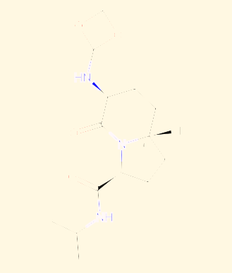 CC(C)NC(=O)[C@@H]1CC[C@H]2CC[C@H](NC3OCO3)C(=O)N21